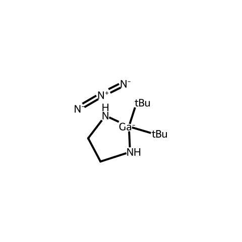 C[C](C)(C)[Ga-]1([C](C)(C)C)[NH]CC[NH]1.[N-]=[N+]=[N-]